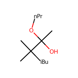 CCCOC(C)(O)C(C)(C)C(C)CC